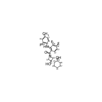 Cc1ccc(Nc2c(C(=O)N3CC(O)([C@H]4CCCC[C@@H]4O)C3)ccc(F)c2F)c(F)c1